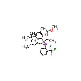 CCCCCC(CC)(Pc1ccccc1C(F)(F)F)c1cc(C(C)(C)C)cc(C)c1OCOC